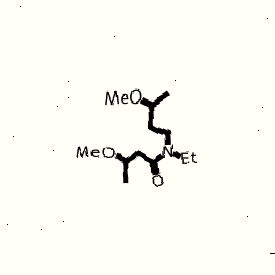 CCN(CCC(C)OC)C(=O)CC(C)OC